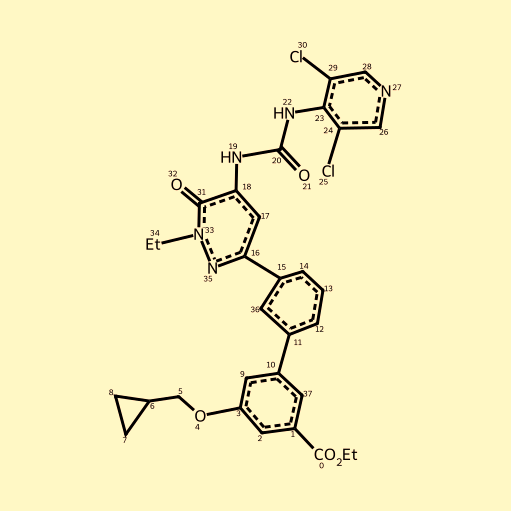 CCOC(=O)c1cc(OCC2CC2)cc(-c2cccc(-c3cc(NC(=O)Nc4c(Cl)cncc4Cl)c(=O)n(CC)n3)c2)c1